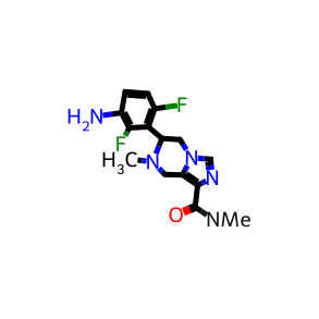 CNC(=O)c1ncn2c1CN(C)C(c1c(F)ccc(N)c1F)C2